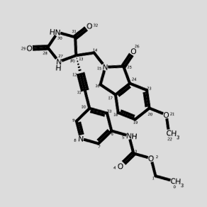 CCOC(=O)Nc1cncc(C#C[C@]2(CN3Cc4ccc(OC)cc4C3=O)NC(=O)NC2=O)c1